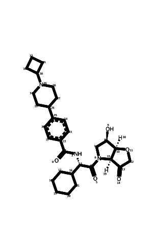 O=C(N[C@H](C(=O)N1C[C@@H](O)[C@H]2OCC(=O)[C@H]21)C1CCCCC1)c1ccc(C2CCN(C3CCC3)CC2)cc1